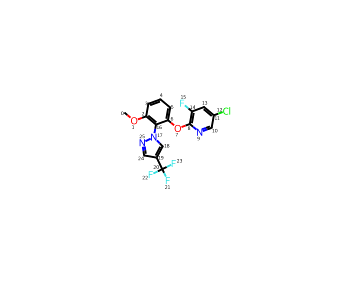 COc1cccc(Oc2ncc(Cl)cc2F)c1-n1cc(C(F)(F)F)cn1